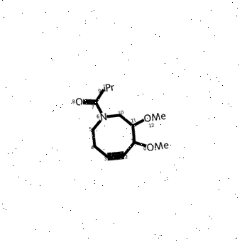 COC1C#CCCN(C(=O)C(C)C)CC1OC